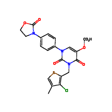 Cc1csc(Cn2c(=O)c(OC(=O)O)cn(-c3ccc(N4CCOC4=O)cc3)c2=O)c1Cl